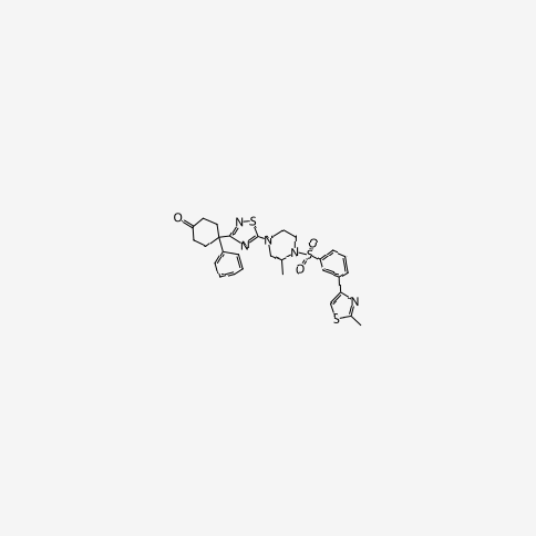 Cc1nc(-c2cccc(S(=O)(=O)N3CCN(c4nc(C5(c6ccccc6)CCC(=O)CC5)ns4)CC3C)c2)cs1